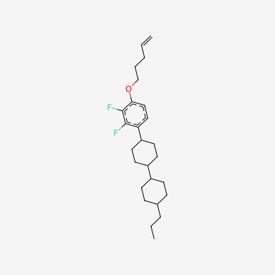 C=CCCCOc1ccc(C2CCC(C3CCC(CCC)CC3)CC2)c(F)c1F